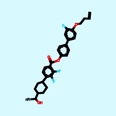 C=CCCOc1ccc(-c2ccc(OC(=O)c3ccc(C4CCC(C(O)CCC)CC4)c(F)c3F)cc2)cc1F